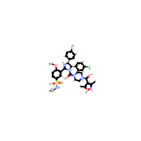 CCOc1ccc(S(=O)(=O)NC(C)(C)C)cc1C1=N[C@@H](c2ccc(Cl)cc2)[C@@H](c2ccc(Cl)cc2)N1C(=O)N1CCN(C(=O)c2c(C)noc2C)CC1